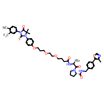 Cc1ncsc1-c1ccc(CNC(=O)[C@@H]2CCCN2C(=O)C(NC(=O)CCCOCCOCCCOc2ccc(N3C(=S)N(c4ccc(C#N)c(C(F)(F)F)c4)C(=O)C3(C)C)cc2)C(C)(C)C)cc1